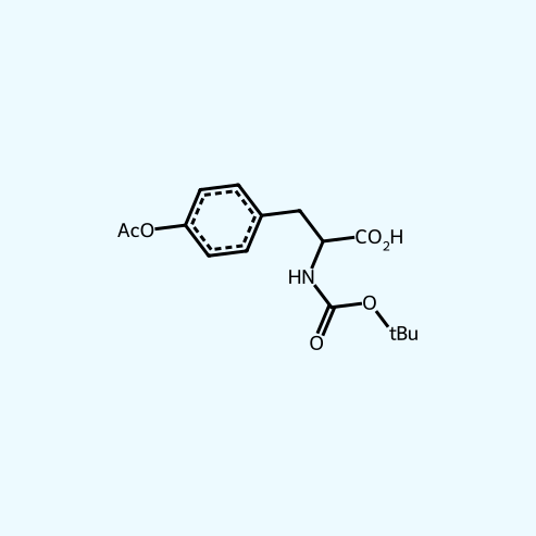 CC(=O)Oc1ccc(CC(NC(=O)OC(C)(C)C)C(=O)O)cc1